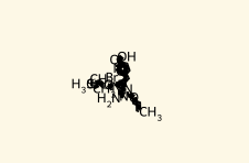 CCCCOc1nc(N)c2c(n1)c(Cc1ccc(C(=O)O)nc1)c(Br)n2COCC[Si](C)(C)C